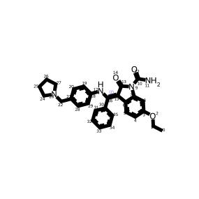 CCOc1[c]cc2c(c1)N(C(N)=O)C(=O)/C2=C(\Nc1ccc(CN2CCCC2)cc1)c1ccccc1